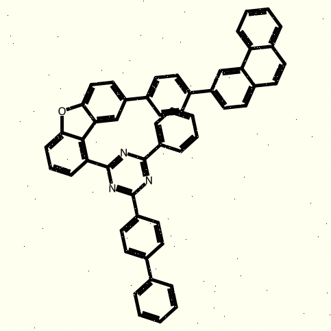 c1ccc(-c2ccc(-c3nc(-c4ccccc4)nc(-c4cccc5oc6ccc(-c7ccc(-c8ccc9ccc%10ccccc%10c9c8)cc7)cc6c45)n3)cc2)cc1